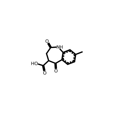 Cc1ccc2c(c1)NC(=O)CC(C(=O)O)C2=O